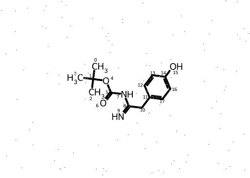 CC(C)(C)OC(=O)NC(=N)Cc1ccc(O)cc1